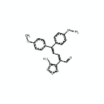 COc1ccc(C(=C/C=C(/C=O)c2nnnn2C)c2ccc(OC)cc2)cc1